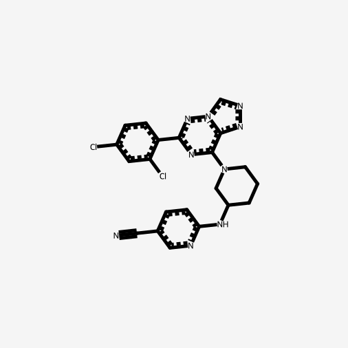 N#Cc1ccc(NC2CCCN(c3nc(-c4ccc(Cl)cc4Cl)nn4cnnc34)C2)nc1